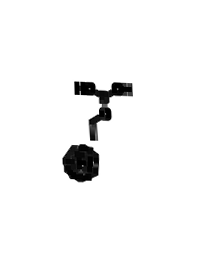 C=COB(O)O.[CH]12[CH]3[CH]4[CH]5[CH]1[Fe]23451678[CH]2[CH]1[CH]6[CH]7[CH]28